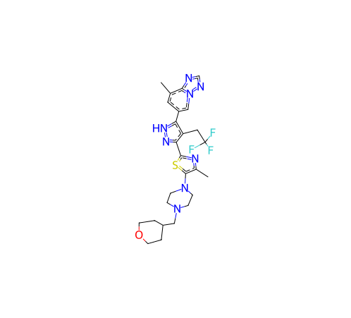 Cc1nc(-c2n[nH]c(-c3cc(C)c4ncnn4c3)c2CC(F)(F)F)sc1N1CCN(CC2CCOCC2)CC1